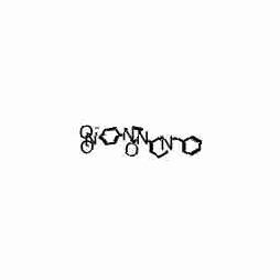 O=c1n(C2=CCCN(Cc3ccccc3)C2)ccn1-c1ccc([N+](=O)[O-])cc1